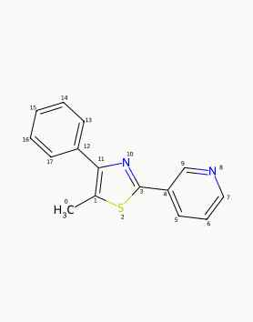 Cc1sc(-c2cccnc2)nc1-c1ccccc1